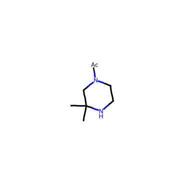 CC(=O)N1CCNC(C)(C)C1